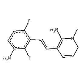 CN1CC=CC(C=Cc2c(F)ccc(N)c2F)=C1N